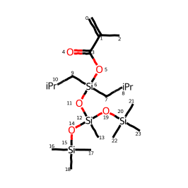 C=C(C)C(=O)O[Si](CC(C)C)(CC(C)C)O[Si](C)(O[Si](C)(C)C)O[Si](C)(C)C